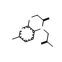 CC(=O)CN1C(=O)COc2nc(Cl)ccc21